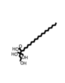 CCCCCCCCCCCCCCCCCCCCC(C(=O)O)C(CO)(CO)CCCO